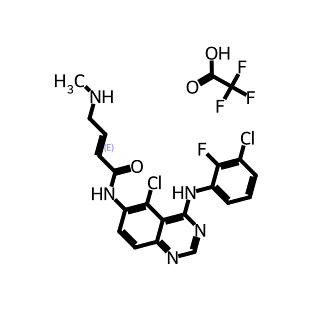 CNC/C=C/C(=O)Nc1ccc2ncnc(Nc3cccc(Cl)c3F)c2c1Cl.O=C(O)C(F)(F)F